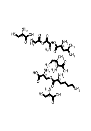 CC(C)C[C@H](N)C(=O)O.CC[C@H](C)[C@H](N)C(=O)O.NCC(=O)OC(=O)CN.NCCCC[C@H](N)C(=O)OC[C@H](N)C(=O)O.N[C@@H](CS)C(=O)O.N[C@@H](CS)C(=O)O